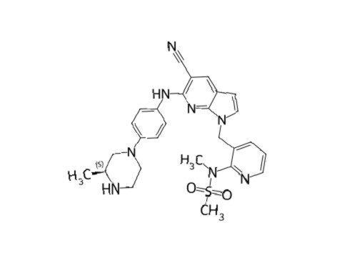 C[C@H]1CN(c2ccc(Nc3nc4c(ccn4Cc4cccnc4N(C)S(C)(=O)=O)cc3C#N)cc2)CCN1